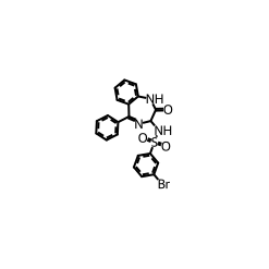 O=C1Nc2ccccc2C(c2ccccc2)=NC1NS(=O)(=O)c1cccc(Br)c1